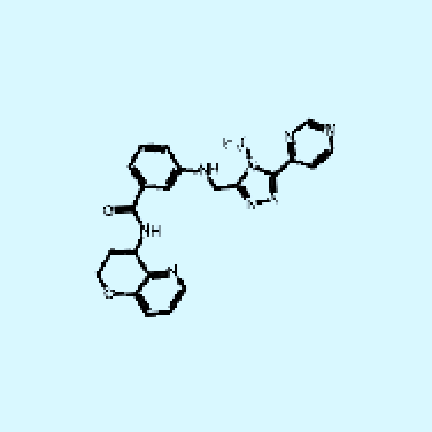 Cn1c(CNc2cccc(C(=O)NC3CCOc4cccnc43)c2)nnc1-c1ccncn1